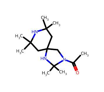 CC(=O)N1CC2(CC(C)(C)NC(C)(C)C2)NC1(C)C